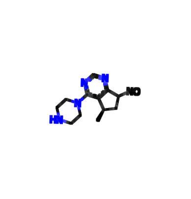 C[C@@H]1CC(N=O)c2ncnc(N3CCNCC3)c21